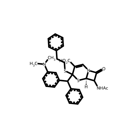 CC(=O)NC1C(=O)N2C=C(C(=O)O)C(SCCc3ccccc3)(C(c3ccccc3)c3cccc(N(C)C)c3)S[C@H]12